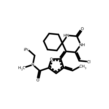 C/C=c1/cc(C(=O)N(C)CC(C)C)o/c1=C1/C(=C/Cl)NC(=O)NC12CCCCC2